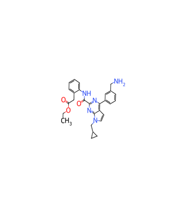 CCOC(=O)Cc1ccccc1NC(=O)c1nc(-c2cccc(CN)c2)c2ccn(CC3CC3)c2n1